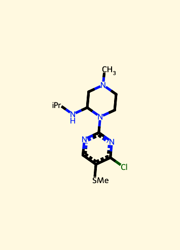 CSc1cnc(N2CCN(C)CC2NC(C)C)nc1Cl